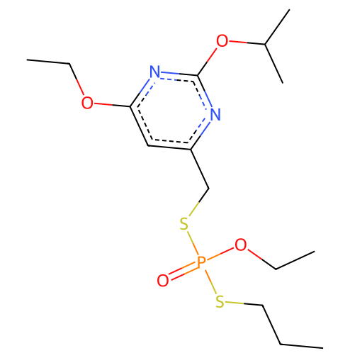 CCCSP(=O)(OCC)SCc1cc(OCC)nc(OC(C)C)n1